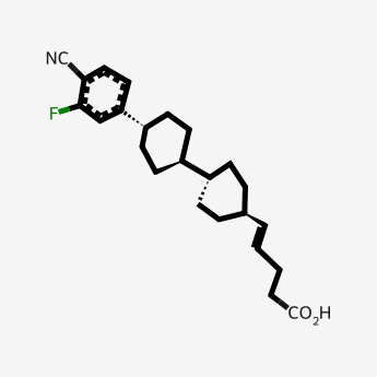 N#Cc1ccc([C@H]2CC[C@H]([C@H]3CC[C@H](C=CCCC(=O)O)CC3)CC2)cc1F